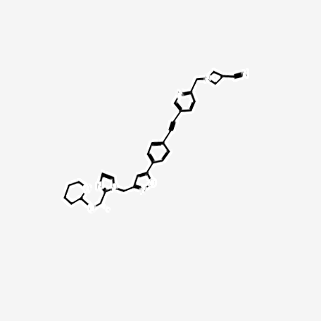 C[C@H](OC1CCCCO1)c1nccn1Cc1cc(-c2ccc(C#Cc3ccc(CN4CC(C#N)C4)nc3)cc2)on1